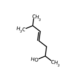 CC(C)C=CCC(C)O